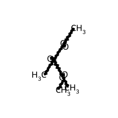 CCCCCCCCCCOC(=O)CCCCCCCCN(C=O)C(CCCCCCCCC)CCCCCCCCC(=O)OCC(CCCC)CCCCCC